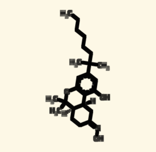 CCCCCCC(C)(C)c1cc(O)c2c(c1)OC(C)(C)[C@@H]1CCC(=NO)C[C@@H]21